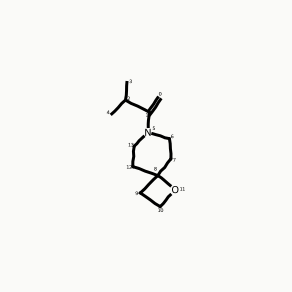 C=C(C(C)C)N1CCC2(CCO2)CC1